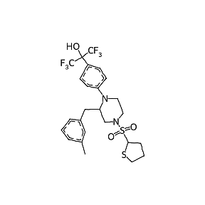 Cc1cccc(CC2CN(S(=O)(=O)C3CCCS3)CCN2c2ccc(C(O)(C(F)(F)F)C(F)(F)F)cc2)c1